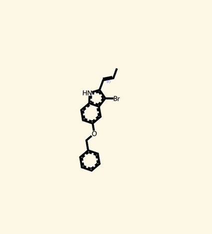 C/C=C/c1[nH]c2ccc(OCc3ccccc3)cc2c1Br